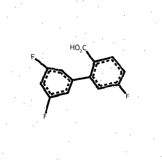 O=C(O)c1ccc(F)cc1-c1cc(F)cc(F)c1